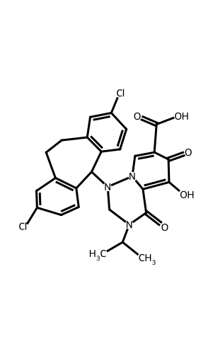 CC(C)N1CN(C2c3ccc(Cl)cc3CCc3cc(Cl)ccc32)n2cc(C(=O)O)c(=O)c(O)c2C1=O